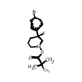 CC(C)(C)C(=O)ON1CCCC(F)(c2ccc(Br)cc2)C1